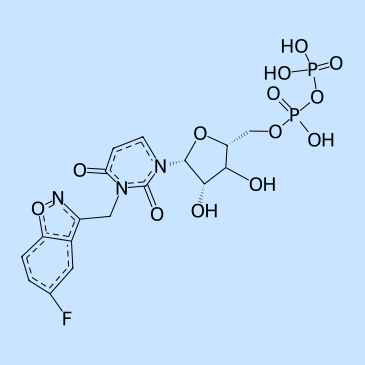 O=c1ccn([C@@H]2O[C@H](COP(=O)(O)OP(=O)(O)O)C(O)[C@@H]2O)c(=O)n1Cc1noc2ccc(F)cc12